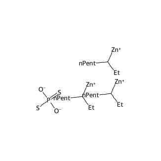 CCCCC[CH]([Zn+])CC.CCCCC[CH]([Zn+])CC.CCCCC[CH]([Zn+])CC.[O-]P([O-])(=S)[S-]